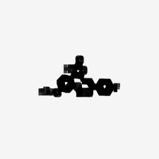 CCCCOC1=CCC([C@H]2NC(=O)O[C@@H]2CC[C@H](O)C2=CC=C(F)CC2)C(OCCCC)=C1